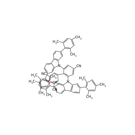 Cc1cc(C)c(-c2ccc3c4ccc(-c5c(C)cc(C)cc5C)cc4n(-c4cc(C#N)cc(-n5c6cc(-c7c(C)cc(C)cc7C)ccc6c6ccc(-c7c(C)cc(C)cc7C)cc65)c4-c4cc(C#N)cc(C#N)c4)c3c2)c(C)c1